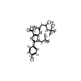 CC(Cc1nc2c(nc(-c3ccc(Cl)cc3)n2CC(F)F)c(=O)[nH]1)CC(F)(F)F